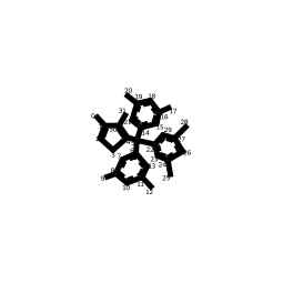 CC1=CCC(C(c2cc(C)cc(C)c2)(c2cc(C)cc(C)c2)c2cc(C)cc(C)c2)=C1C